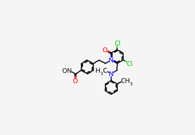 Cc1ccccc1N(C)Cc1c(Cl)cc(Cl)c(=O)n1CCc1ccc(C(=O)N=O)cc1